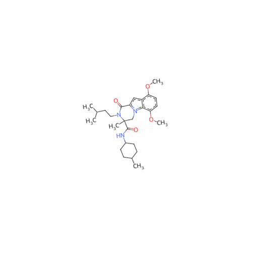 COc1ccc(OC)c2c1cc1n2CC(C)(C(=O)NC2CCC(C)CC2)N(CCC(C)C)C1=O